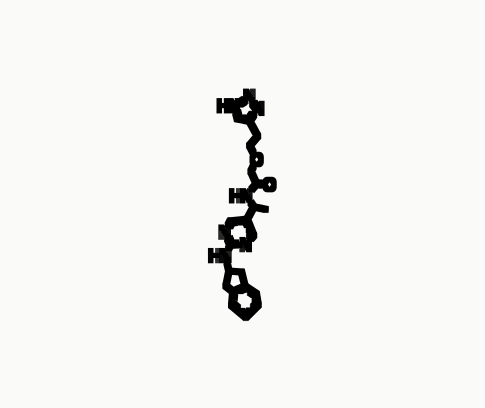 CC(NC(=O)COCCc1c[nH]nn1)c1cnc(NC2Cc3ccccc3C2)nc1